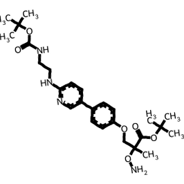 CC(C)(C)OC(=O)NCCNc1ccc(-c2ccc(OCC(C)(ON)C(=O)OC(C)(C)C)cc2)cn1